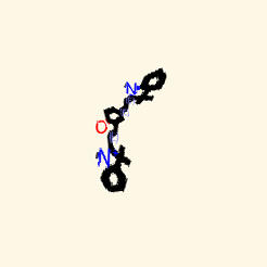 CN1/C(=C/C=C2\C=CC(=O)C(/C=C/C3=[N+](C)c4ccccc4C3(C)C)=C2)C(C)(C)c2ccccc21